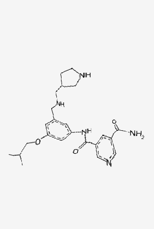 CC(C)COc1cc(CNCC2CCNC2)cc(NC(=O)c2cncc(C(N)=O)c2)c1